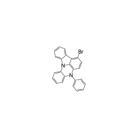 Brc1ccc2c3c1c1ccccc1n3-c1ccccc1N2c1ccccc1